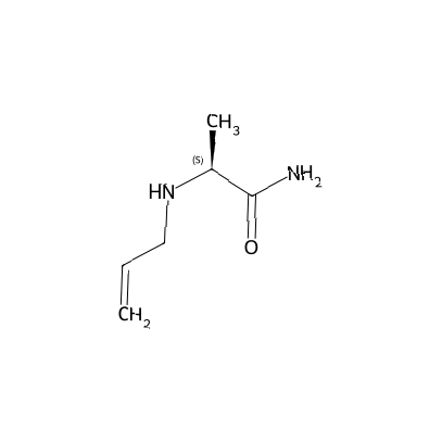 C=CCN[C@@H](C)C(N)=O